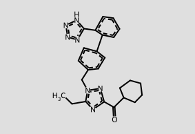 CCc1nc(C(=O)C2CCCCC2)nn1Cc1ccc(-c2ccccc2-c2nnn[nH]2)cc1